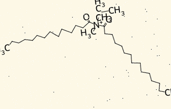 CCC.CCCCCCCCCCCCCCC(=O)[N+](C)(C)C(=O)CCCCCCCCCCCCC